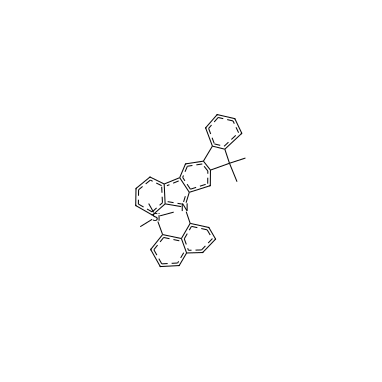 CC1(C)c2ccccc2-c2cc3c4ccccc4n(-c4cccc5cccc([Si](C)(C)C)c45)c3cc21